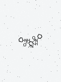 Cc1nc(C)c(C(=O)Nc2ccccc2)cc1C(=O)Nc1ccccc1